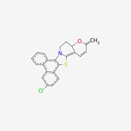 C=C1C=CC2=C3Sc4c(c5ccccc5c5cc(Cl)ccc45)N3CCC2O1